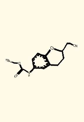 CC(C)(C)OC(=O)Nc1ccc2c(c1)CCC(CC#N)O2